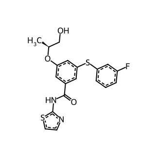 C[C@@H](CO)Oc1cc(Sc2cccc(F)c2)cc(C(=O)Nc2nccs2)c1